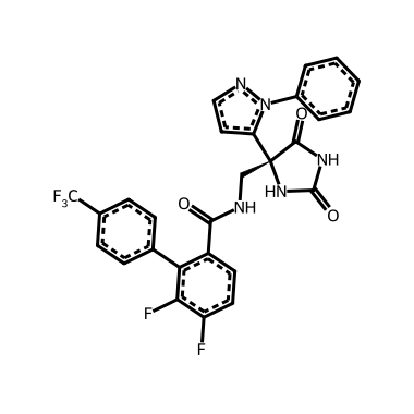 O=C1NC(=O)[C@@](CNC(=O)c2ccc(F)c(F)c2-c2ccc(C(F)(F)F)cc2)(c2ccnn2-c2ccccc2)N1